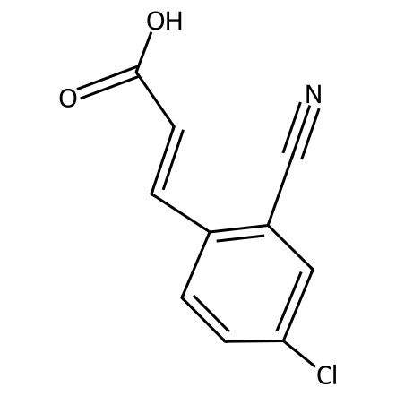 N#Cc1cc(Cl)ccc1C=CC(=O)O